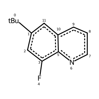 CC(C)(C)c1cc(F)c2ncccc2c1